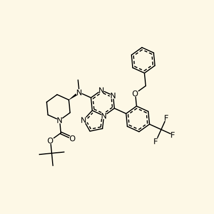 CN(c1nnc(-c2ccc(C(F)(F)F)cc2OCc2ccccc2)n2ccnc12)[C@@H]1CCCN(C(=O)OC(C)(C)C)C1